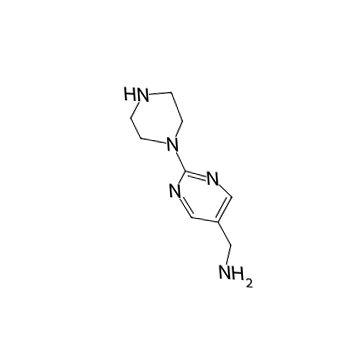 NCc1cnc(N2CCNCC2)nc1